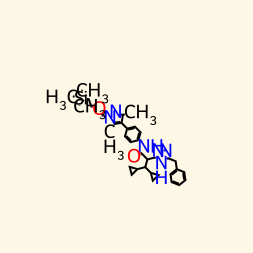 Cc1nn(COCC[Si](C)(C)C)c(C)c1-c1ccc(NC(=O)C(c2nnc(Cc3ccccc3)[nH]2)C(C2CC2)C2CC2)cc1